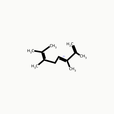 C=C(C)/C(C)=C/CC(C)=C(C)C